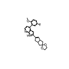 COc1ccc(F)cc1-c1ccnc2[nH]c(C3=CC4CC5(CC4C3)OCCO5)cc12